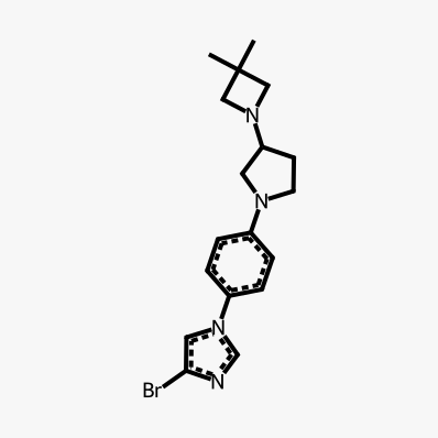 CC1(C)CN(C2CCN(c3ccc(-n4cnc(Br)c4)cc3)C2)C1